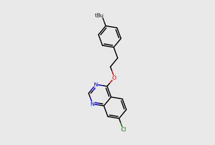 CC(C)(C)c1ccc(CCOc2ncnc3cc(Cl)ccc23)cc1